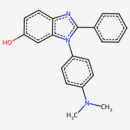 CN(C)c1ccc(-n2c(-c3ccccc3)nc3ccc(O)cc32)cc1